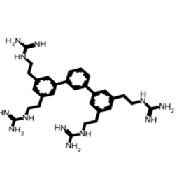 N=C(N)NCCc1cc(CCNC(=N)N)cc(-c2cccc(-c3cc(CCNC(=N)N)cc(CCNC(=N)N)c3)c2)c1